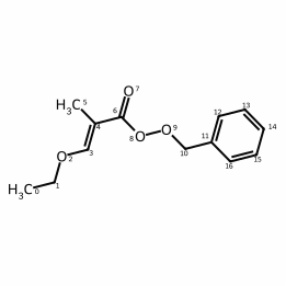 CCOC=C(C)C(=O)OOCc1ccccc1